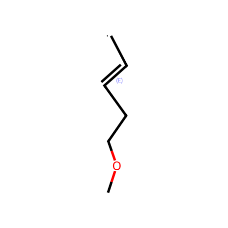 [CH2]/C=C/CCOC